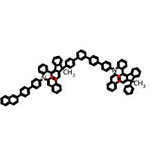 CC1(c2ccccc2)c2ccccc2-c2c(-c3ccccc3N(c3ccc(-c4ccc(-c5cccc(-c6ccc(C7(C)c8ccccc8-c8c(-c9ccccc9N(c9ccc(-c%10ccc(-c%11ccc%12ccccc%12c%11)cc%10)cc9)c9ccc%10ccccc%10c9)cccc87)cc6)c5)cc4)cc3)c3ccc4ccccc4c3)cccc21